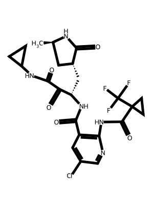 C[C@@H]1C[C@@H](C[C@H](NC(=O)c2cc(Cl)cnc2NC(=O)C2(C(F)(F)F)CC2)C(=O)C(=O)NC2CC2)C(=O)N1